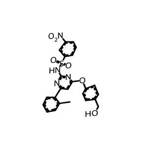 Cc1ccccc1-c1cc(Oc2ccc(CO)cc2)nc(NS(=O)(=O)c2cccc([N+](=O)[O-])c2)n1